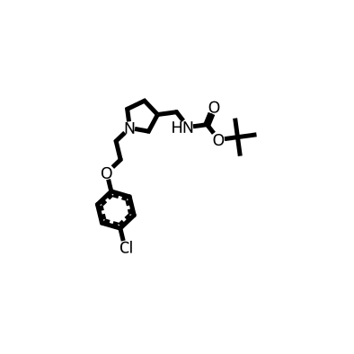 CC(C)(C)OC(=O)NCC1CCN(CCOc2ccc(Cl)cc2)C1